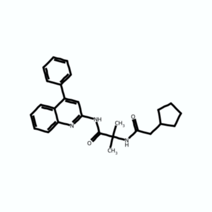 CC(C)(NC(=O)CC1CCCC1)C(=O)Nc1cc(-c2ccccc2)c2ccccc2n1